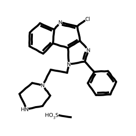 CS(=O)(=O)O.Clc1nc2ccccc2c2c1nc(-c1ccccc1)n2CCN1CCNCC1